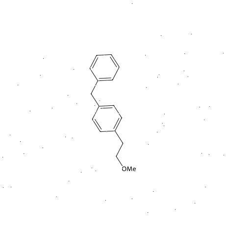 COCCc1ccc(Cc2ccccc2)cc1